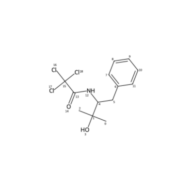 CC(C)(O)C(Cc1ccccc1)NC(=O)C(Cl)(Cl)Cl